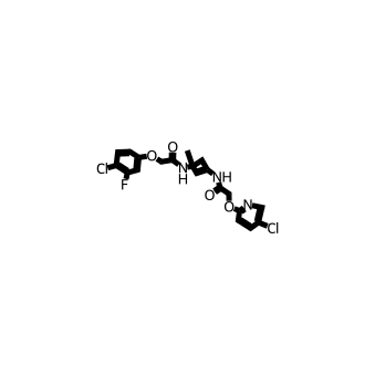 CC1(NC(=O)COc2ccc(Cl)c(F)c2)C=C(NC(=O)COc2ccc(Cl)cn2)C1